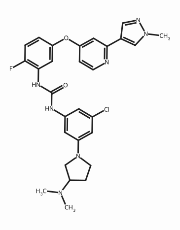 CN(C)C1CCN(c2cc(Cl)cc(NC(=O)Nc3cc(Oc4ccnc(-c5cnn(C)c5)c4)ccc3F)c2)C1